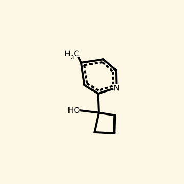 Cc1ccnc(C2(O)CCC2)c1